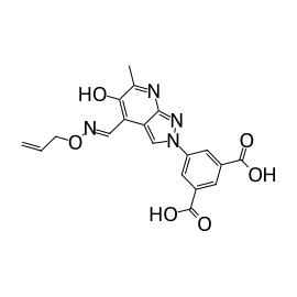 C=CCON=Cc1c(O)c(C)nc2nn(-c3cc(C(=O)O)cc(C(=O)O)c3)cc12